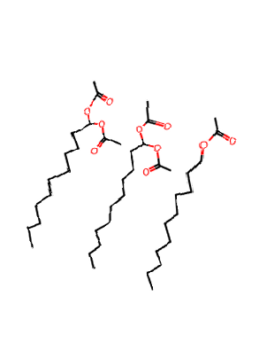 CCCCCCCCCCC(OC(C)=O)OC(C)=O.CCCCCCCCCCC(OC(C)=O)OC(C)=O.CCCCCCCCCCCOC(C)=O